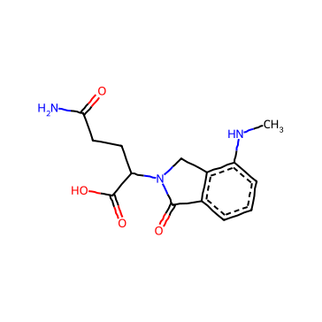 CNc1cccc2c1CN(C(CCC(N)=O)C(=O)O)C2=O